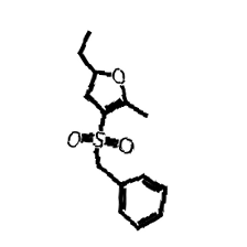 CCC1CC(S(=O)(=O)Cc2ccccc2)=C(C)O1